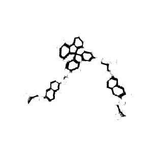 OC(COc1ccc(C2(c3ccc(OCOc4ccc5cc(OCC6CO6)ccc5c4)cc3)c3ccccc3-c3ccccc32)cc1)COc1ccc2cc(OCC3CO3)ccc2c1